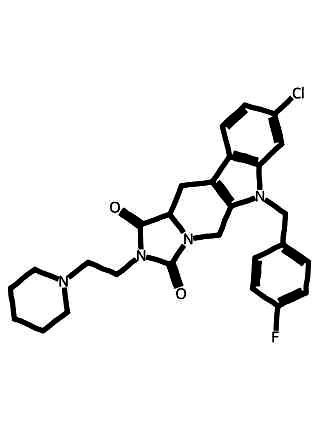 O=C1C2Cc3c(n(Cc4ccc(F)cc4)c4cc(Cl)ccc34)CN2C(=O)N1CCN1CCCCC1